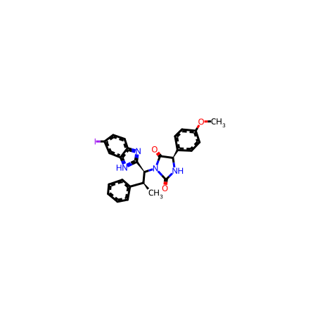 COc1ccc([C@H]2NC(=O)N([C@H](c3nc4ccc(I)cc4[nH]3)[C@@H](C)c3ccccc3)C2=O)cc1